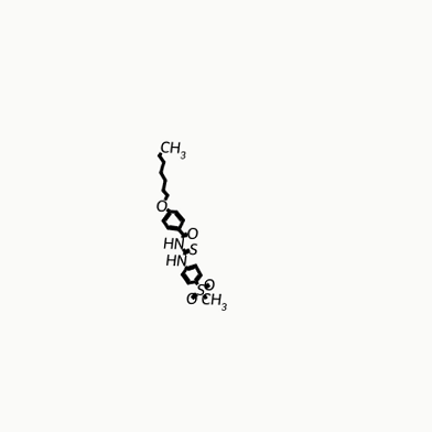 CCCCCCCOc1ccc(C(=O)NC(=S)Nc2ccc(S(C)(=O)=O)cc2)cc1